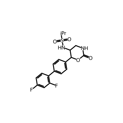 CC(C)S(=O)(=O)NC1CNC(=O)OC1c1ccc(-c2ccc(F)cc2F)cc1